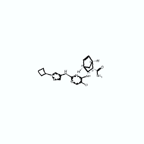 NC(=O)[C@@H]1[C@H](Nc2nc(Nc3cnn(C4CCC4)c3)ncc2Cl)[C@H]2C=C[C@@H]1C2